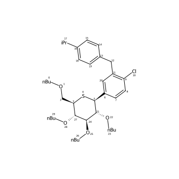 CCCCOC[C@H]1S[C@@H](c2ccc(Cl)c(Cc3ccc(C(C)C)cc3)c2)[C@H](OCCCC)[C@@H](OCCCC)[C@@H]1OCCCC